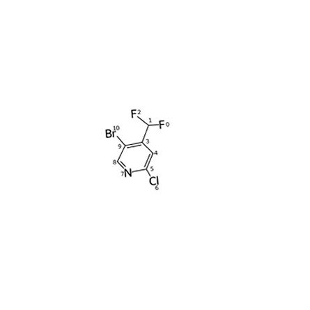 FC(F)c1cc(Cl)ncc1Br